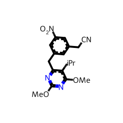 COc1nc(Cc2cc(CC#N)cc([N+](=O)[O-])c2)c(C(C)C)c(OC)n1